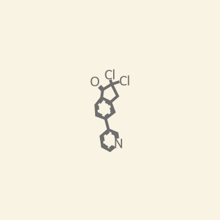 O=C1c2ccc(-c3cccnc3)cc2CC1(Cl)Cl